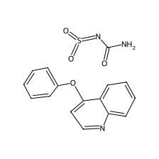 NC(=O)N=S(=O)=O.c1ccc(Oc2ccnc3ccccc23)cc1